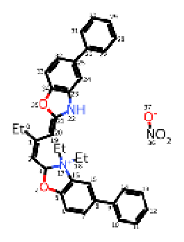 CCC(=CC1Oc2ccc(-c3ccccc3)cc2[N+]1(CC)CC)C=C1Nc2cc(-c3ccccc3)ccc2O1.O=[N+]([O-])[O-]